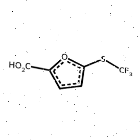 O=C(O)c1ccc(SC(F)(F)F)o1